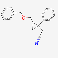 N#CCC1(c2ccccc2)CC1COCc1ccccc1